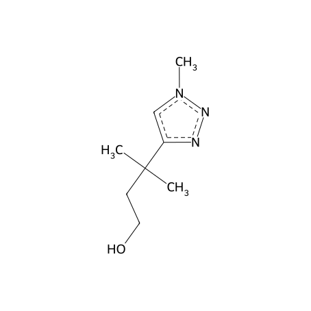 Cn1cc(C(C)(C)CCO)nn1